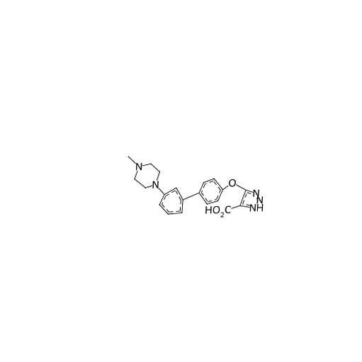 CN1CCN(c2cccc(-c3ccc(Oc4nn[nH]c4C(=O)O)cc3)c2)CC1